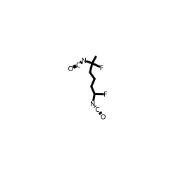 CC(F)(CCCC(F)N=C=O)N=C=O